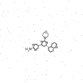 Nc1ncc(-c2cc(-c3cccc4ncccc34)nc(N3CCOCC3)n2)cn1